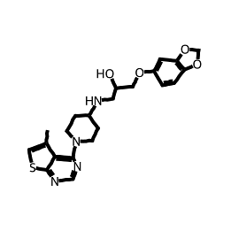 Cc1csc2ncnc(N3CCC(NCC(O)COc4ccc5c(c4)OCO5)CC3)c12